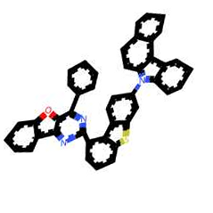 c1ccc(-c2nc(-c3cccc4sc5cc(-n6c7ccccc7c7c8ccccc8ccc76)ccc5c34)nc3c2oc2ccccc23)cc1